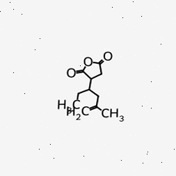 C=C(C)CC(CC)C1CC(=O)OC1=O